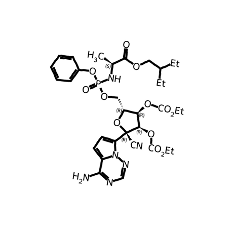 CCOC(=O)O[C@H]1[C@@H](OC(=O)OCC)[C@](C#N)(c2ccc3c(N)ncnn23)O[C@@H]1COP(=O)(N[C@@H](C)C(=O)OCC(CC)CC)Oc1ccccc1